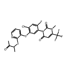 CC(=O)C(C)Sc1ncccc1Sc1cc(-n2c(=O)cc(C(F)(F)F)n(C)c2=O)c(F)cc1Cl